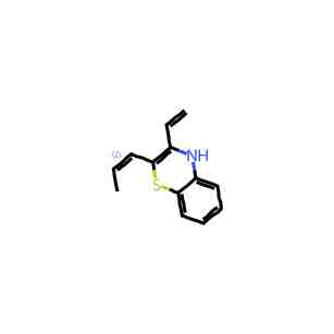 C=CC1=C(/C=C\C)Sc2ccccc2N1